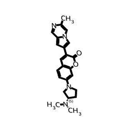 Cc1cn2cc(-c3cc4ccc(N5CC[C@H](N(C)C)C5)cc4oc3=O)cc2cn1